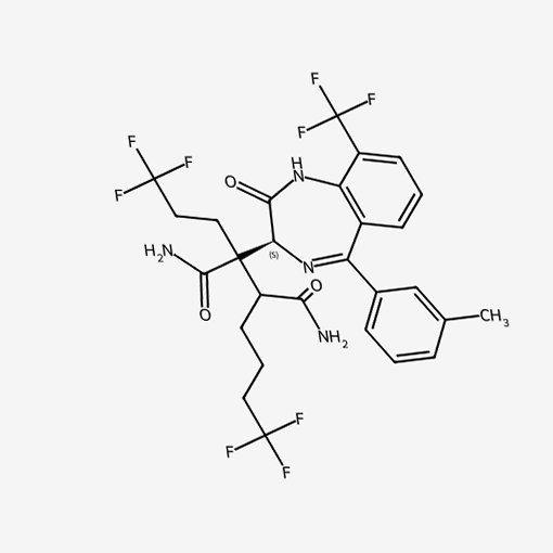 Cc1cccc(C2=N[C@@H](C(CCC(F)(F)F)(C(N)=O)C(CCCC(F)(F)F)C(N)=O)C(=O)Nc3c2cccc3C(F)(F)F)c1